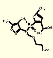 COCCOCN(c1noc(C)c1C)S(=O)(=O)c1sc(C)cc1B(O)O